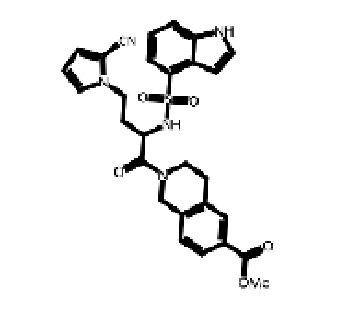 COC(=O)c1ccc2c(c1)CCN(C(=O)C(CCn1cccc1C#N)NS(=O)(=O)c1cccc3[nH]ccc13)C2